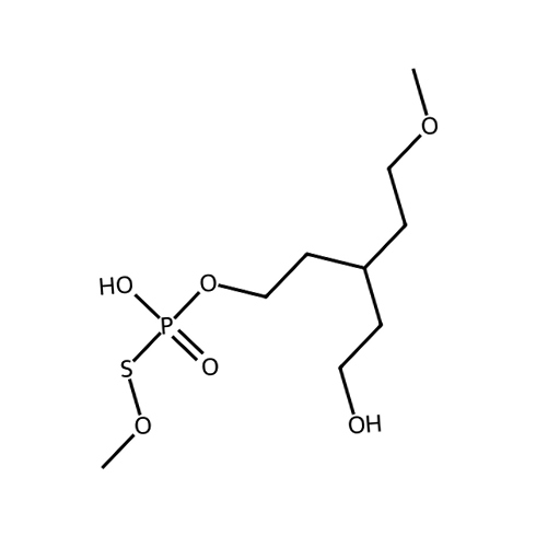 COCCC(CCO)CCOP(=O)(O)SOC